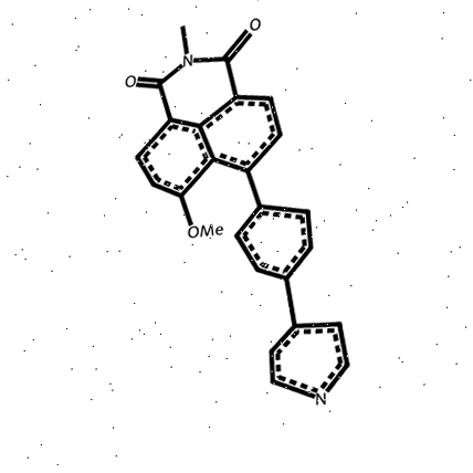 COc1ccc2c3c(ccc(-c4ccc(-c5ccncc5)cc4)c13)C(=O)N(C)C2=O